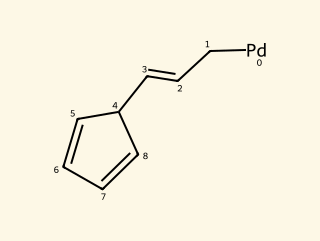 [Pd][CH2]C=CC1C=CC=C1